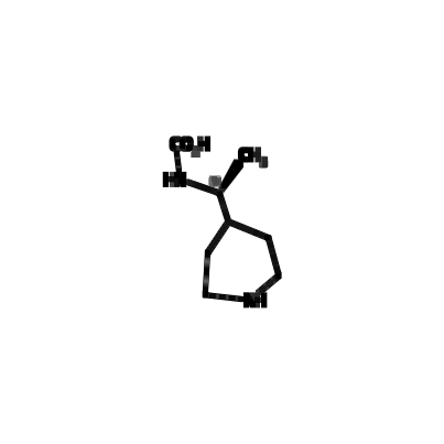 C[C@H](NC(=O)O)C1CCNCC1